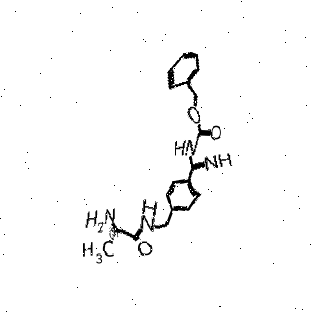 C[C@H](N)C(=O)NCc1ccc(C(=N)NC(=O)OCc2ccccc2)cc1